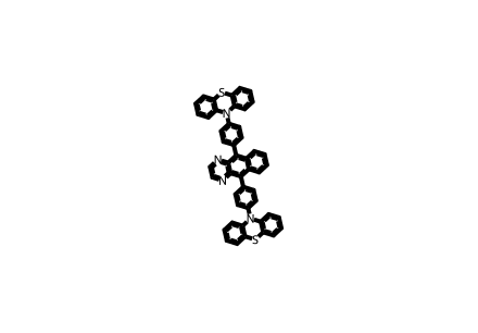 c1ccc2c(c1)Sc1ccccc1N2c1ccc(-c2c3ccccc3c(-c3ccc(N4c5ccccc5Sc5ccccc54)cc3)c3nccnc23)cc1